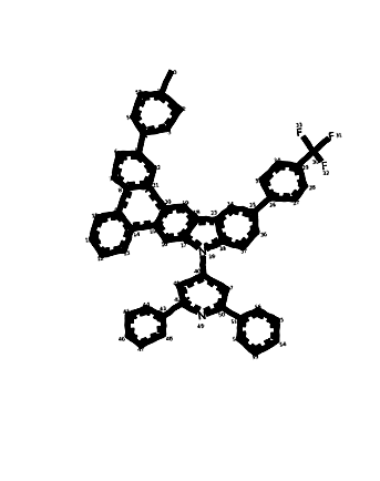 Cc1ccc(-c2ccc3c4ccccc4c4cc5c(cc4c3c2)c2cc(-c3ccc(C(F)(F)F)cc3)ccc2n5-c2cc(-c3ccccc3)nc(-c3ccccc3)c2)cc1